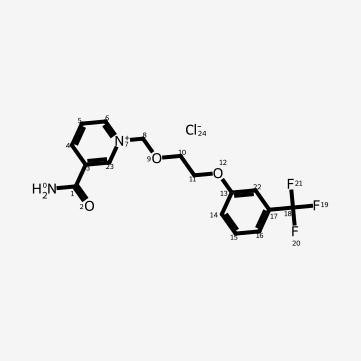 NC(=O)c1ccc[n+](COCCOc2cccc(C(F)(F)F)c2)c1.[Cl-]